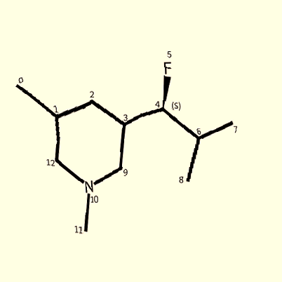 CC1CC([C@@H](F)C(C)C)CN(C)C1